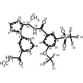 CNC(=O)c1cc(-n2ncnc2[C@H](C)NC(=O)c2cc(OC(F)(F)F)cc(S(=O)(=O)C(F)(F)F)c2)ncn1